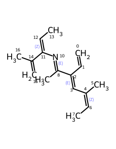 C=CC(=C\C(C)=C/C)/C(C)=N/C(=C\C)C(=C)C